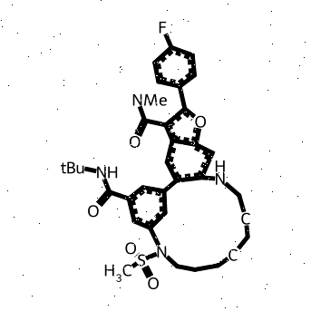 CNC(=O)c1c(-c2ccc(F)cc2)oc2cc3c(cc12)-c1cc(C(=O)NC(C)(C)C)cc(c1)N(S(C)(=O)=O)CCCCCCCN3